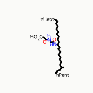 CCCCC/C=C\CC(C)CCCCCCCCC(CCCCCCCC/C=C\CCCCCCC)NC(=O)CNC(=O)CC(=O)O